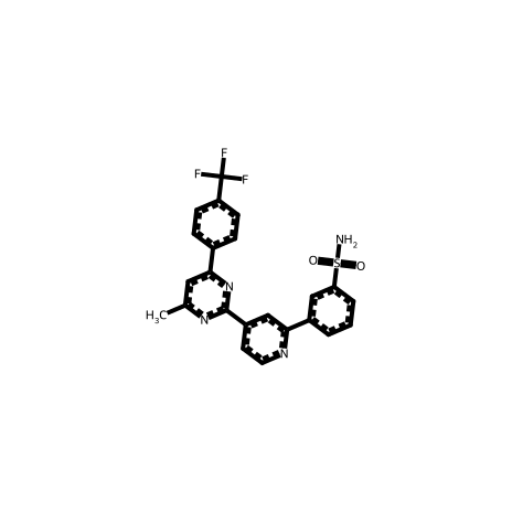 Cc1cc(-c2ccc(C(F)(F)F)cc2)nc(-c2ccnc(-c3cccc(S(N)(=O)=O)c3)c2)n1